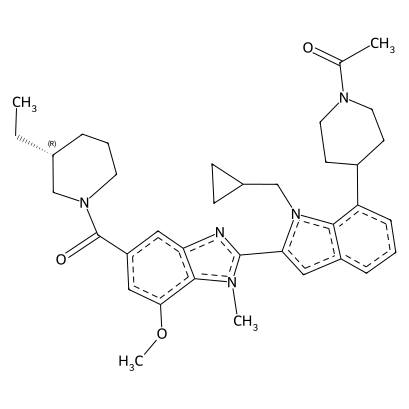 CC[C@@H]1CCCN(C(=O)c2cc(OC)c3c(c2)nc(-c2cc4cccc(C5CCN(C(C)=O)CC5)c4n2CC2CC2)n3C)C1